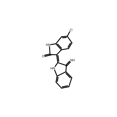 N=C1/C(=C2/C(=O)Nc3cc(Cl)ccc32)Nc2ccccc21